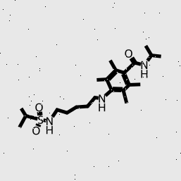 Cc1c(C)c(C(=O)NC(C)C)c(C)c(C)c1NCCCCCNS(=O)(=O)C(C)C